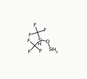 FC(F)(F)[SiH](O[SiH3])C(F)(F)F